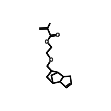 C=C(C)C(=O)OCCOCC1CC2CC1C1CC=CC21